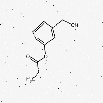 CCC(=O)Oc1cccc(CO)c1